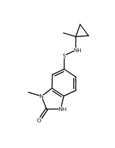 Cn1c(=O)[nH]c2ccc(SNC3(C)CC3)cc21